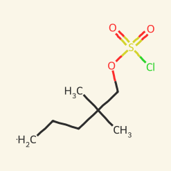 [CH2]CCC(C)(C)COS(=O)(=O)Cl